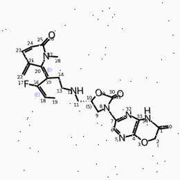 C=C1COc2ncc(N3C[C@H](CNCCC(/C(F)=C\C)=c4/c(=C)ccc(=O)n4C)OC3=O)nc2N1